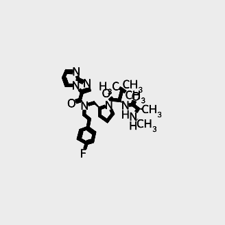 CN[C@@H](C)C(=O)N[C@H](C(=O)N1CCC[C@H]1CN(CCc1ccc(F)cc1)C(=O)c1cnc2ncccn12)C(C)(C)C